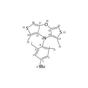 Cc1cc(C(C)(C)C)cc(C)c1N1c2c(csc2C)Oc2csc(C)c21